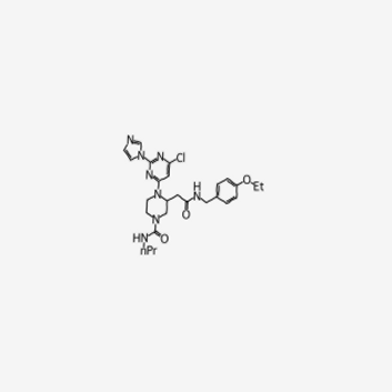 CCCNC(=O)N1CCN(c2cc(Cl)nc(-n3ccnc3)n2)C(CC(=O)NCc2ccc(OCC)cc2)C1